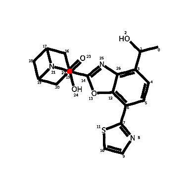 CC(O)c1ccc(-c2nccs2)c2oc(N3CC4CC(C3)N4C(=O)O)nc12